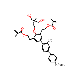 C=C(C)C(=O)OCCc1cc(-c2ccc(-c3ccc(CCCCC)cc3)cc2CC)cc(CCOC(=O)C(=C)C)c1OCCC(C)(CO)CO